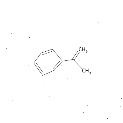 C=C(C)c1cc[c]cc1